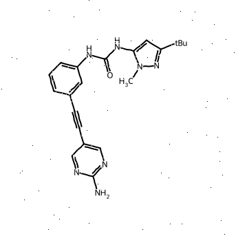 Cn1nc(C(C)(C)C)cc1NC(=O)Nc1cccc(C#Cc2cnc(N)nc2)c1